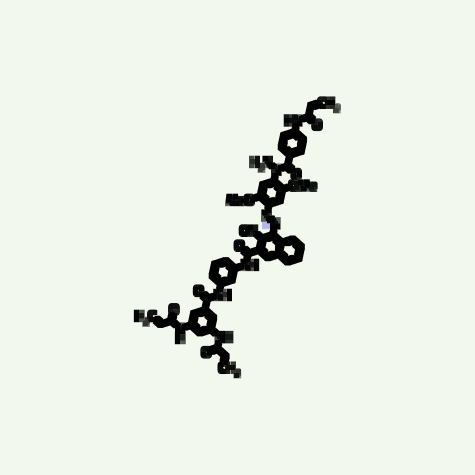 C=CC(=O)Nc1ccc(C(=O)N(N)c2cc(OC)c(/N=N/c3c(N=O)c(C(=O)Nc4cccc(NC(=O)c5cc(NC(=O)C=C)cc(NC(=O)C=C)c5)c4)cc4ccccc34)cc2OC)cc1